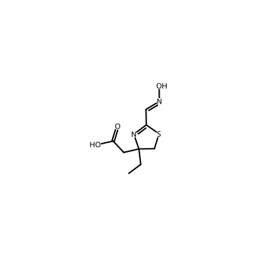 CCC1(CC(=O)O)CSC(C=NO)=N1